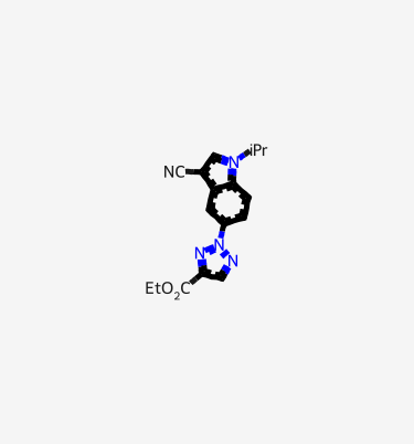 CCOC(=O)c1cnn(-c2ccc3c(c2)c(C#N)cn3C(C)C)n1